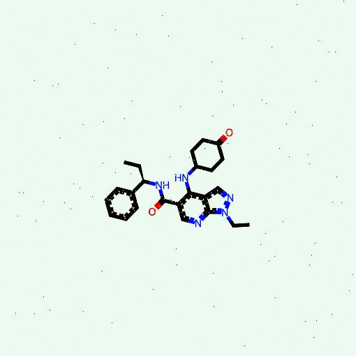 CC[C@@H](NC(=O)c1cnc2c(cnn2CC)c1NC1CCC(=O)CC1)c1ccccc1